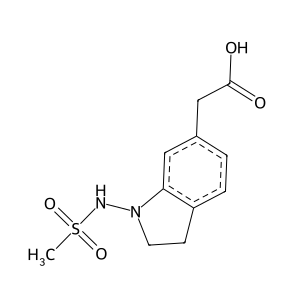 CS(=O)(=O)NN1CCc2ccc(CC(=O)O)cc21